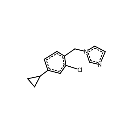 Clc1cc(C2CC2)ccc1Cn1ccnc1